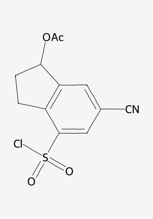 CC(=O)OC1CCc2c1cc(C#N)cc2S(=O)(=O)Cl